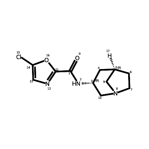 O=C(N[C@@H]1C[C@H]2CCN(C2)C1)c1ncc(Cl)o1